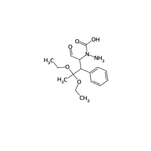 CCOC(C)(OCC)C(c1ccccc1)C(C=O)N(N)C(=O)O